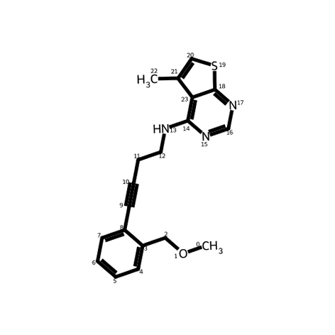 COCc1ccccc1C#CCCNc1ncnc2scc(C)c12